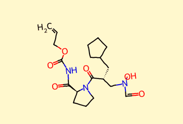 C=CCOC(=O)NC(=O)[C@@H]1CCCN1C(=O)[C@H](CC1CCCC1)CN(O)C=O